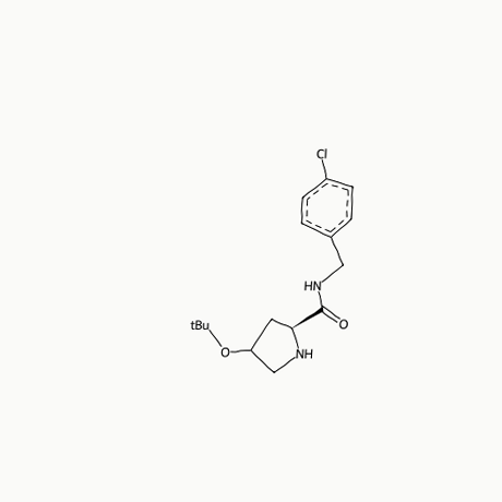 CC(C)(C)OC1CN[C@H](C(=O)NCc2ccc(Cl)cc2)C1